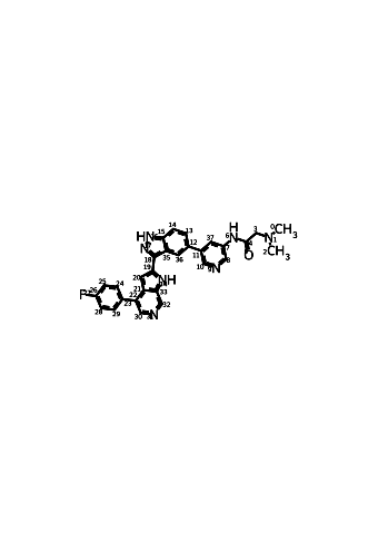 CN(C)CC(=O)Nc1cncc(-c2ccc3[nH]nc(-c4cc5c(-c6ccc(F)cc6)cncc5[nH]4)c3c2)c1